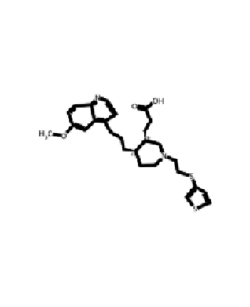 COc1ccc2nccc(CCC[C@@H]3CCN(CCSc4ccsc4)C[C@@H]3CCC(=O)O)c2c1